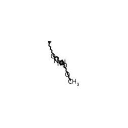 CCCCOCCCCOc1cnc(-c2ccc(OCCCCCCC3CC3)cn2)cn1